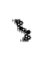 Cc1c2ccc(c1NC(=O)Nc1c3ccc(c1C)N(c1ccc(S(=O)(=O)O)c4c(O)cccc14)S3(=O)=O)S(=O)(=O)N2c1ccc(S(=O)(=O)O)c2c(O)cccc12